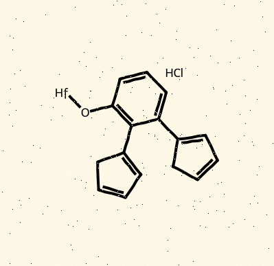 Cl.[Hf][O]c1cccc(C2=CC=CC2)c1C1=CC=CC1